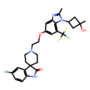 Cc1nc2cc(OCCN3CCC4(CC3)C(=O)Nc3ccc(Cl)cc34)cc(C(F)(F)F)c2n1C1CC(C)(O)C1